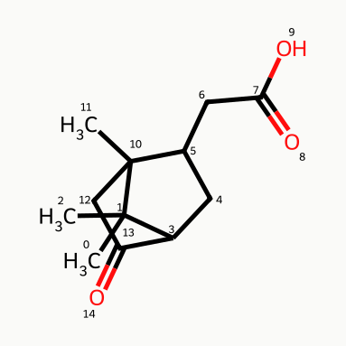 CC1(C)C2CC(CC(=O)O)C1(C)CC2=O